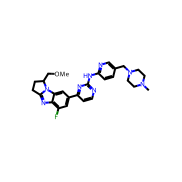 COCC1CCc2nc3c(F)cc(-c4ccnc(Nc5ccc(CN6CCN(C)CC6)cn5)n4)cc3n21